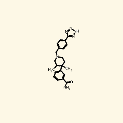 CC1CN(Cc2ccc(-c3nn[nH]n3)cc2)CCC1(C)c1cccc(C(N)=O)c1